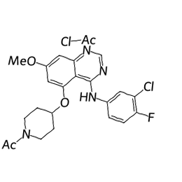 CC(=O)Cl.COc1cc(OC2CCN(C(C)=O)CC2)c2c(Nc3ccc(F)c(Cl)c3)ncnc2c1